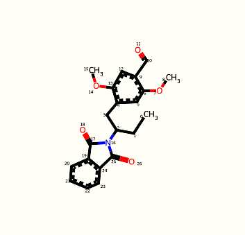 CCC(Cc1cc(OC)c(C=O)cc1OC)N1C(=O)c2ccccc2C1=O